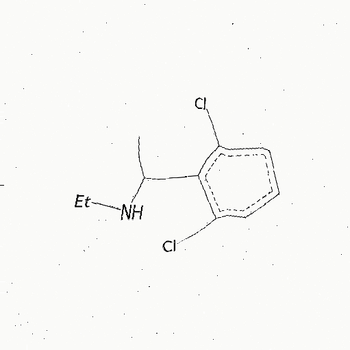 CCNC(C)c1c(Cl)cccc1Cl